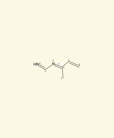 C=C/C(C)=N/C=N